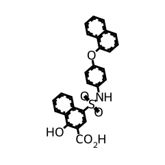 O=C(O)c1cc(S(=O)(=O)Nc2ccc(Oc3cccc4ccccc34)cc2)c2ccccc2c1O